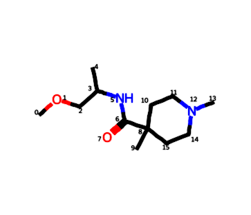 COCC(C)NC(=O)C1(C)CCN(C)CC1